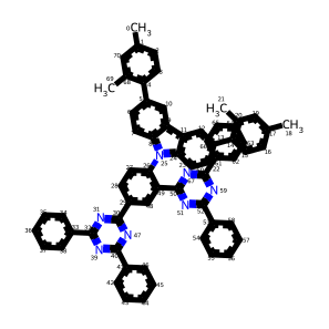 Cc1ccc(-c2ccc3c(c2)c2cc(-c4ccc(C)cc4C)ccc2n3-c2ccc(-c3nc(-c4ccccc4)nc(-c4ccccc4)n3)cc2-c2nc(-c3ccccc3)nc(-c3ccccc3)n2)c(C)c1